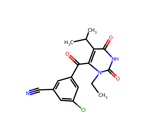 CCn1c(C(=O)c2cc(Cl)cc(C#N)c2)c(C(C)C)c(=O)[nH]c1=O